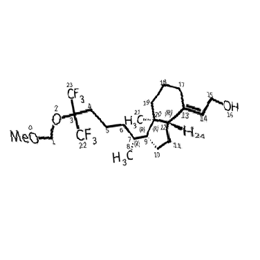 COCOC(CCC[C@@H](C)[C@H]1CC[C@H]2C(=CCO)CCC[C@]12C)(C(F)(F)F)C(F)(F)F